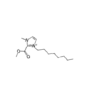 CCCCCCCC[n+]1ccn(C)c1C(=O)OC